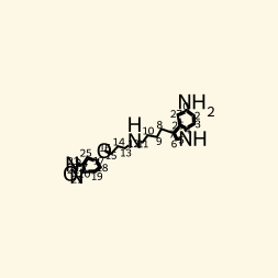 Nc1ccc2[nH]cc(CCCCNCCCOc3ccc4nonc4c3)c2c1